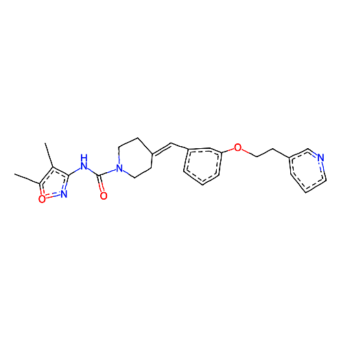 Cc1onc(NC(=O)N2CCC(=Cc3cccc(OCCc4cccnc4)c3)CC2)c1C